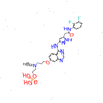 CCCCN(CCCOc1ccc2c(Nc3cc(CC(=O)Nc4cccc(F)c4F)[nH]n3)ncnc2c1)CCOP(=O)(O)O